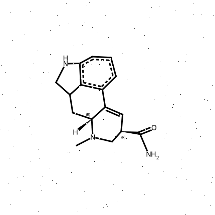 CN1C[C@H](C(N)=O)C=C2c3cccc4c3C(CN4)C[C@H]21